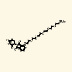 CNCCOCCOCCOCCOCCOCCOc1cccc2c1C(=O)N(C1CCC(=O)NC1=O)C2=O